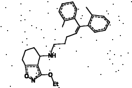 CCOc1noc2c1C(NCCCC=C(c1ccccc1C)c1ccccc1C)CCC2